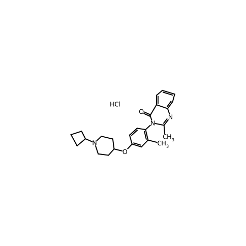 Cc1cc(OC2CCN(C3CCC3)CC2)ccc1-n1c(C)nc2ccccc2c1=O.Cl